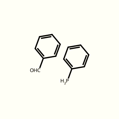 O=Cc1ccccc1.Pc1ccccc1